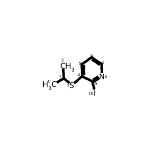 CC(C)Sc1cccnc1I